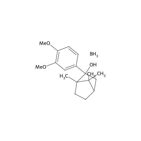 B.COc1ccc(C2(O)CC3CCC2(C)C3(C)C)cc1OC